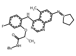 CCC(C)NC(=O)[C@@H](C)Oc1cc(F)ccc1Nc1ncnc2cc(N=S3CCCC3)cc(C)c12